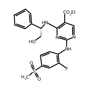 CCOC(=O)c1cnc(Nc2ccc(S(C)(=O)=O)cc2F)nc1N[C@H](CO)c1ccccc1